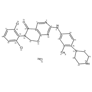 Cc1cc(Nc2ncc3c(n2)OCN(c2c(Cl)cccc2Cl)C3=O)ccc1N1CCNCC1.Cl